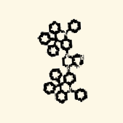 c1ccc(N2c3ccccc3C(c3ccccc3)(c3ccccc3)c3cc(N4CCN(c5ccc6c(c5)C(c5ccccc5)(c5ccccc5)c5ccccc5N6c5ccccc5)c5ncncc54)ccc32)cc1